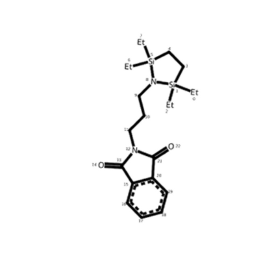 CC[Si]1(CC)CC[Si](CC)(CC)N1CCCN1C(=O)c2ccccc2C1=O